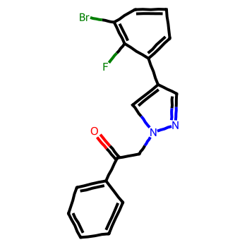 O=C(Cn1cc(-c2cccc(Br)c2F)cn1)c1ccccc1